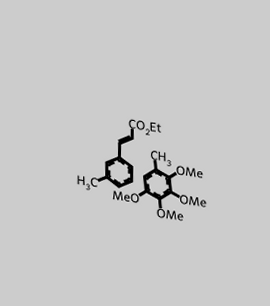 CCOC(=O)C=Cc1cccc(C)c1.COc1cc(C)c(OC)c(OC)c1OC